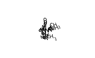 COc1nccnc1-c1cc(C2CCCN2c2nc(Nc3cc(C)[nH]n3)cc(N3CCOCC3)n2)on1